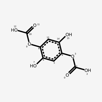 O=C(O)Oc1cc(O)c(OC(=O)O)cc1O